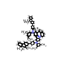 Cc1cc(C)cc(N(C2=CC=C(c3ccc4c(c3)C(C)(C)c3ccccc3-4)CC2)c2ccc3c(c2)c2cc(N(c4ccc(-c5ccc6c(c5)C(C)(C)c5ccccc5-6)cc4)c4cc(C)cc(C)c4)cc4c2n3-c2ccccc2C4(C)C)c1